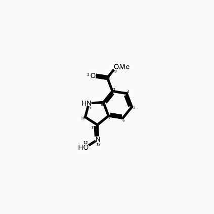 COC(=O)c1cccc2c1NCC2=NO